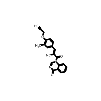 C#CCOc1ccc(/C=C(\C#N)C(=O)n2cnc(=O)c3ccccc32)cc1C